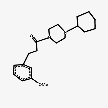 COc1cccc(CCC(=O)N2CCN(C3CCCCC3)CC2)c1